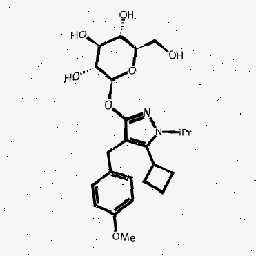 COc1ccc(Cc2c(O[C@@H]3O[C@H](CO)[C@@H](O)[C@H](O)[C@H]3O)nn(C(C)C)c2C2CCC2)cc1